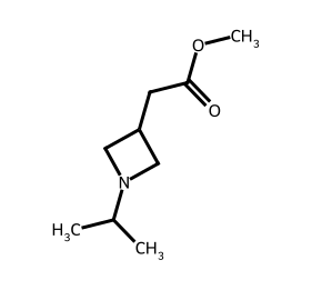 COC(=O)CC1CN(C(C)C)C1